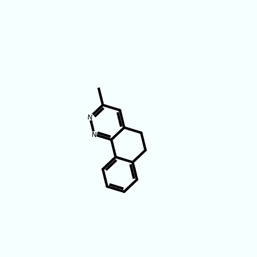 Cc1cc2c(nn1)-c1ccccc1CC2